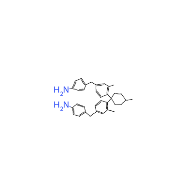 Cc1cc(Cc2ccc(N)cc2)ccc1C1(c2ccc(Cc3ccc(N)cc3)cc2C)CCC(C)CC1